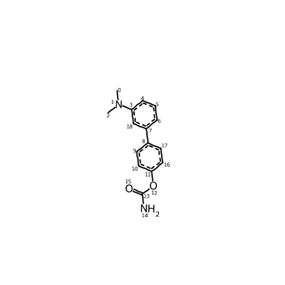 CN(C)c1cccc(-c2ccc(OC(N)=O)cc2)c1